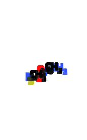 Cc1ncsc1CCOc1ccn(Cc2cccc(N)c2C)c(=O)c1